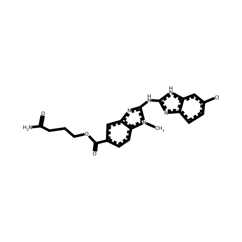 Cn1c(Nc2nc3ccc(Cl)cc3[nH]2)nc2cc(C(=O)OCCCC(N)=O)ccc21